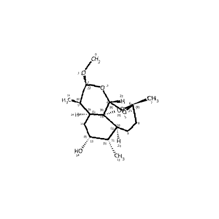 CO[C@H]1O[C@@H]2O[C@@]3(C)CC[C@H]4[C@H](C)[C@H](O)C[C@@H]([C@H]1C)[C@@]24OO3